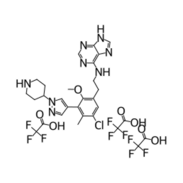 COc1c(CCNc2ncnc3[nH]cnc23)cc(Cl)c(C)c1-c1cnn(C2CCNCC2)c1.O=C(O)C(F)(F)F.O=C(O)C(F)(F)F.O=C(O)C(F)(F)F